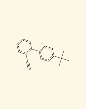 C#Cc1ccccc1-c1ccc(C(C)(C)C)cc1